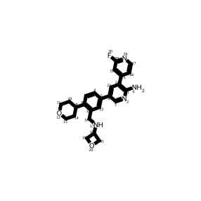 Nc1ncc(-c2ccc(C3CCOCC3)c(CNC3COC3)c2)cc1-c1ccnc(F)c1